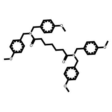 COc1ccc(CN(Cc2ccc(OC)cc2)C(=O)CCCCCC(=O)N(Cc2ccc(OC)cc2)Cc2ccc(OC)cc2)cc1